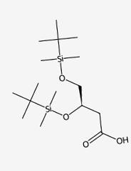 CC(C)(C)[Si](C)(C)OC[C@@H](CC(=O)O)O[Si](C)(C)C(C)(C)C